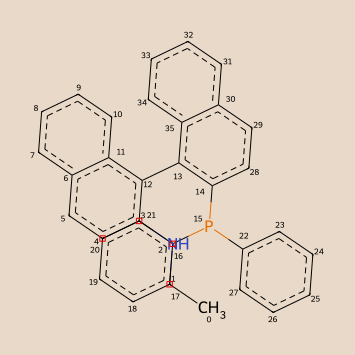 CCNc1ccc2ccccc2c1-c1c(P(c2ccccc2)c2ccccc2)ccc2ccccc12